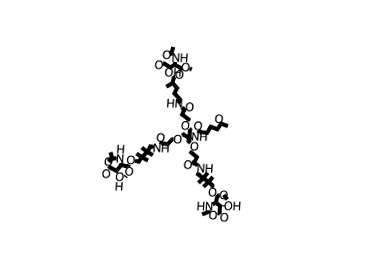 COC(OCC(C)CCCNC(=O)CCOCC(COCCC(=O)NCC(C)(C)C(C)(C)COC(OC)C(NC(C)=O)[C@H](O)C=O)(COCCC(=O)NCC(C)(C)C(C)(C)COC(OC)C(NC(C)=O)[C@H](O)C=O)NC(=O)CCCC(C)=O)C(NC(C)=O)[C@H](O)C=O